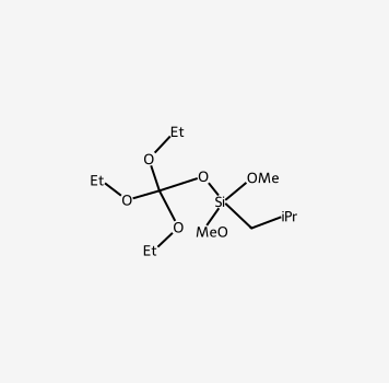 CCOC(OCC)(OCC)O[Si](CC(C)C)(OC)OC